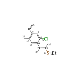 C=Cc1cc(Cl)c(/C(C)=C(\C)SCC)cc1C